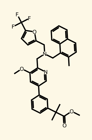 COC(=O)C(C)(C)c1cccc(-c2cnc(CN(Cc3ccc(C(F)(F)F)o3)Cc3c(C)ccc4ccccc34)c(OC)c2)c1